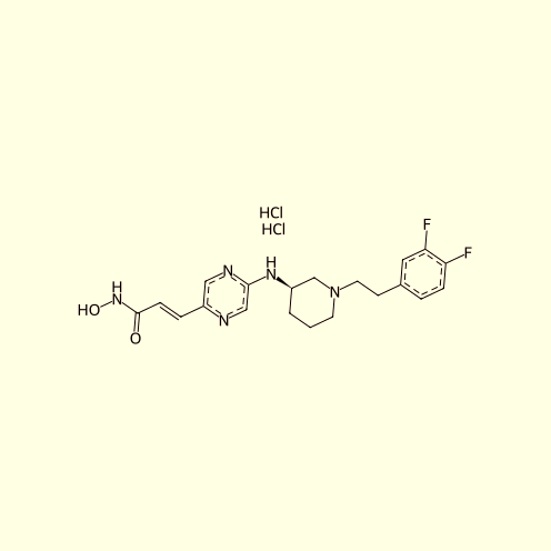 Cl.Cl.O=C(/C=C/c1cnc(N[C@@H]2CCCN(CCc3ccc(F)c(F)c3)C2)cn1)NO